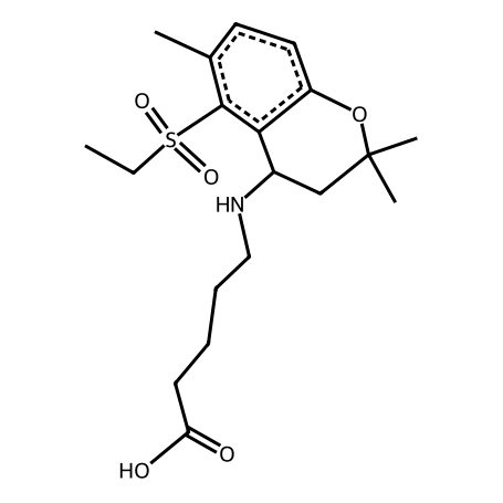 CCS(=O)(=O)c1c(C)ccc2c1C(NCCCCC(=O)O)CC(C)(C)O2